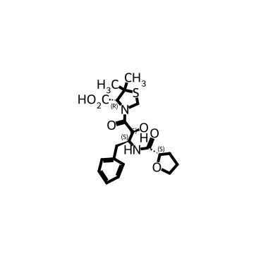 CC1(C)SCN(C(=O)[C@@H](O)[C@H](Cc2ccccc2)NC(=O)[C@@H]2CCCO2)[C@@H]1C(=O)O